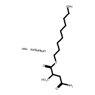 CCCCCCCCCCCCCCCCCCOC(=O)C(CC(N)=O)S(=O)(=O)O.[NaH].[NaH].[NaH].[NaH]